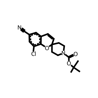 CC(C)(C)OC(=O)N1CCC2(C=Cc3cc(C#N)cc(Cl)c3O2)CC1